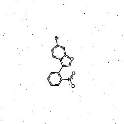 O=[N+]([O-])c1ccccc1-c1coc2cc(Br)ccc12